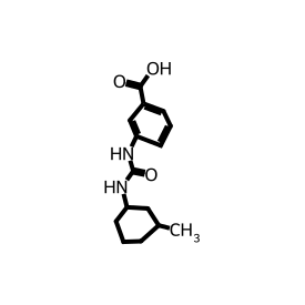 CC1CCCC(NC(=O)Nc2cccc(C(=O)O)c2)C1